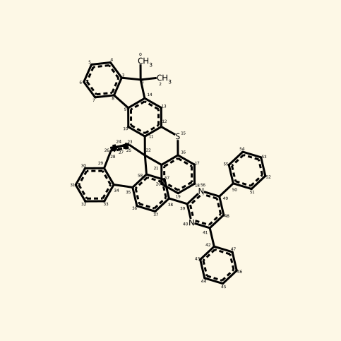 CC1(C)c2ccccc2-c2cc3c(cc21)Sc1ccccc1C31c2ccccc2-c2ccccc2-c2ccc(-c3nc(-c4ccccc4)cc(-c4ccccc4)n3)cc21